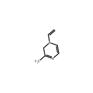 C=CN1C=CN=C(C(F)(F)F)C1